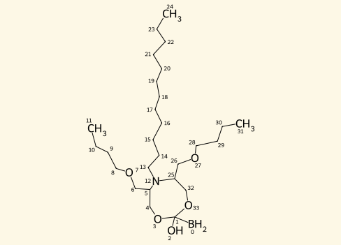 BC1(O)OCC(COCCCC)N(CCCCCCCCCCCC)C(COCCCC)CO1